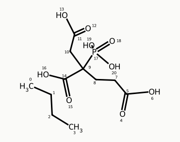 CCCC.O=C(O)CCC(CC(=O)O)(C(=O)O)P(=O)(O)O